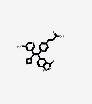 Cc1cncc(/C(=C(\c2ccc(/C=C/C(=O)O)cc2)c2ccc3[nH]nc(F)c3c2)C2CCC2)c1